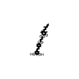 C=C/C=C(C)/C=C/C1=C(C)C(=O)C(OC(=O)CCC(=O)Oc2ccc(/C=C/c3cc(O)cc(O)c3)cc2)CC1(C)C